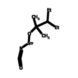 CCC(CC)C(C)(C)[O][Sn][N]=C=O